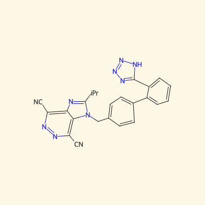 CC(C)c1nc2c(C#N)nnc(C#N)c2n1Cc1ccc(-c2ccccc2-c2nnn[nH]2)cc1